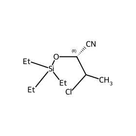 CC[Si](CC)(CC)O[C@H](C#N)C(C)Cl